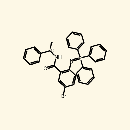 C[C@@H](NC(=O)c1cc(Br)ccc1N=P(c1ccccc1)(c1ccccc1)c1ccccc1)c1ccccc1